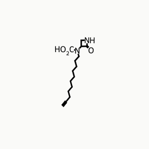 C#CCCCCCCCCCN(C(=O)O)C1CNC1=O